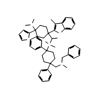 Cc1c(C2(C(N)[N+](C)(C)C3(c4ccccc4)CCC(CN(C)Cc4ccccc4)(c4ccccc4)CC3)CCC(c3cccs3)(N(C)C)CC2)[nH]c2ccccc12